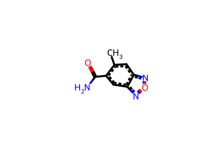 Cc1cc2nonc2cc1C(N)=O